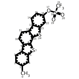 Cc1ccc2c(c1)sc1c2ccc2c3ccc(OS(=O)(=O)C(F)(F)F)cc3sc21